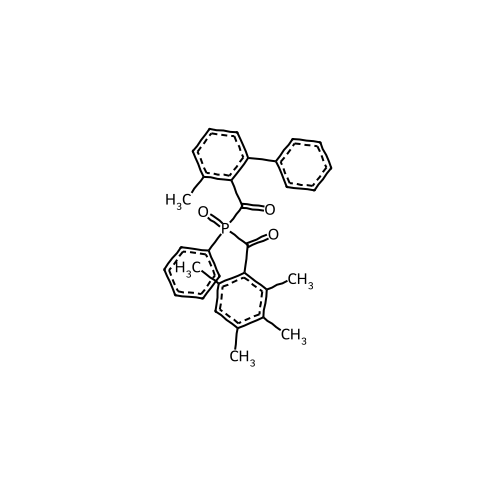 Cc1cc(C)c(C(=O)P(=O)(C(=O)c2c(C)cccc2-c2ccccc2)c2ccccc2)c(C)c1C